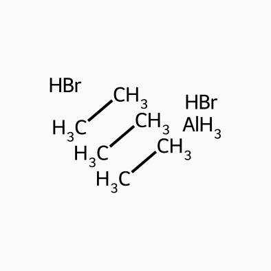 Br.Br.CC.CC.CC.[AlH3]